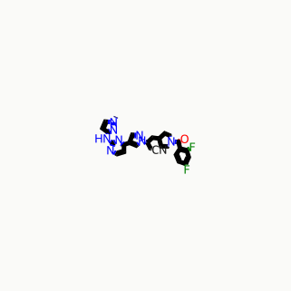 Cn1ccc(Nc2nccc(-c3cnn(C(CC#N)CC4CCN(C(=O)c5ccc(F)cc5F)CC4)c3)n2)n1